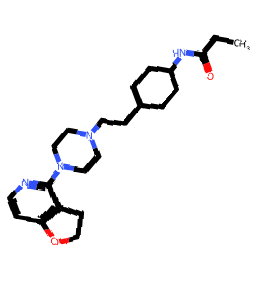 CCC(=O)NC1CCC(CCN2CCN(c3nccc4c3CCO4)CC2)CC1